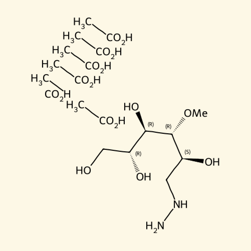 CC(=O)O.CC(=O)O.CC(=O)O.CC(=O)O.CC(=O)O.CC(=O)O.CO[C@@H]([C@H](O)[C@H](O)CO)[C@@H](O)CNN